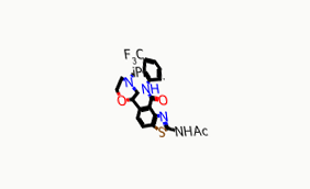 CC(=O)Nc1nc2c(C(=O)Nc3[c]ccc(C(F)(F)F)c3)c(C3CN(C(C)C)CCO3)ccc2s1